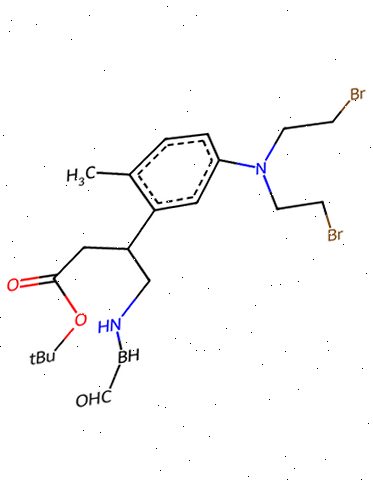 Cc1ccc(N(CCBr)CCBr)cc1C(CNBC=O)CC(=O)OC(C)(C)C